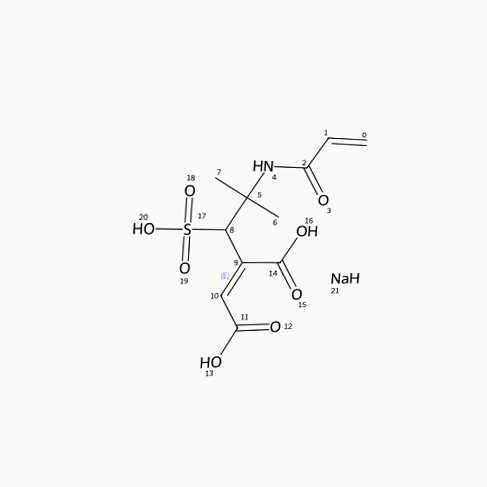 C=CC(=O)NC(C)(C)C(/C(=C/C(=O)O)C(=O)O)S(=O)(=O)O.[NaH]